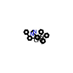 CC(C)c1cccc(-c2ccccc2)c1-n1ccnc1-c1cccc([Si](c2ccccc2)(c2ccccc2)c2ccccc2)c1